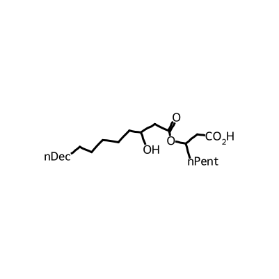 CCCCCCCCCCCCCCCC(O)CC(=O)OC(CCCCC)CC(=O)O